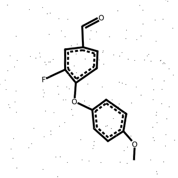 COc1ccc(Oc2ccc(C=O)cc2F)cc1